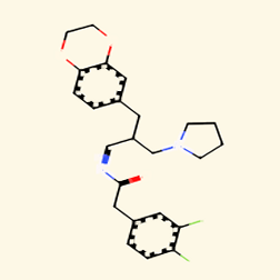 O=C(Cc1ccc(F)c(F)c1)/N=C\C(Cc1ccc2c(c1)OCCO2)CN1CCCC1